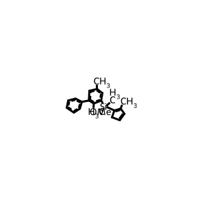 COc1c(-c2ccccc2)cc(C)cc1[Si](C)(C)C1=C(C)C=CC1